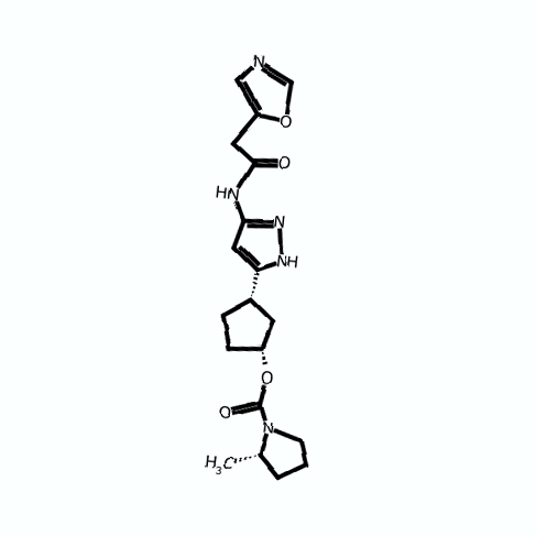 C[C@H]1CCCN1C(=O)O[C@@H]1CC[C@H](c2cc(NC(=O)Cc3cnco3)n[nH]2)C1